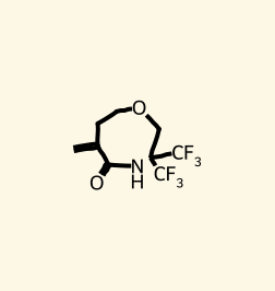 C=C1CCOCC(C(F)(F)F)(C(F)(F)F)NC1=O